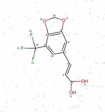 OC(O)/C=C/c1cc2c(c(C(F)(F)F)c1)OCO2